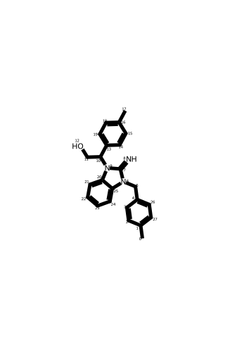 Cc1ccc(Cn2c(=N)n(C(CO)c3ccc(C)cc3)c3ccccc32)cc1